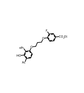 CCCc1c(OCCCOc2ccc(C(=O)OCC)cc2F)ccc(C(C)=O)c1O